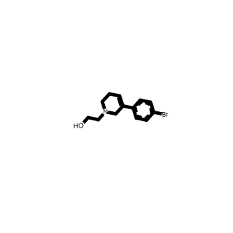 OCCN1CCC=C(c2ccc(Br)cc2)C1